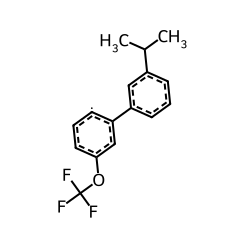 CC(C)c1cccc(-c2[c]ccc(OC(F)(F)F)c2)c1